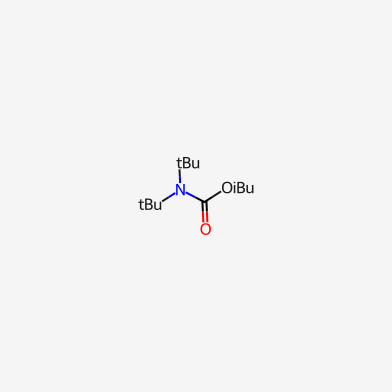 CC(C)COC(=O)N(C(C)(C)C)C(C)(C)C